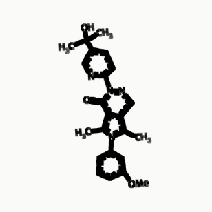 COc1cccc(-n2c(C)c3cnn(-c4ccc(C(C)(C)O)cn4)c(=O)c3c2C)c1